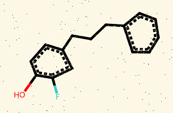 Oc1ccc(CCCc2ccccc2)cc1F